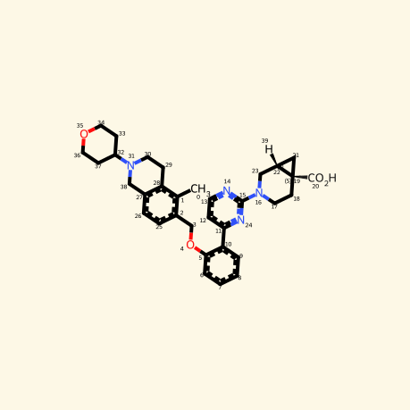 Cc1c(COc2ccccc2-c2ccnc(N3CC[C@@]4(C(=O)O)C[C@H]4C3)n2)ccc2c1CCN(C1CCOCC1)C2